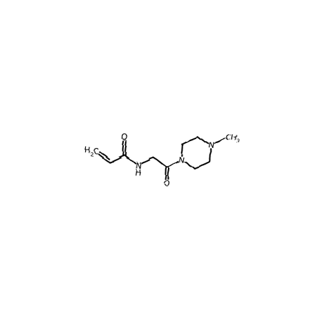 C=CC(=O)NCC(=O)N1CCN(C)CC1